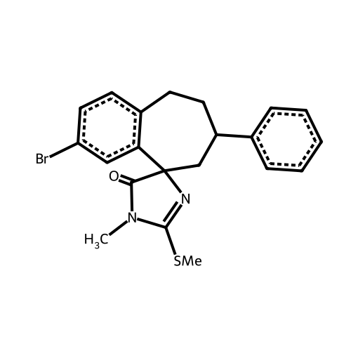 CSC1=NC2(CC(c3ccccc3)CCc3ccc(Br)cc32)C(=O)N1C